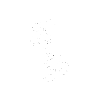 Fc1cccc(N(c2ccccc2)c2ccc3c4cc5c(cc4n4c6ccccc6c2c34)c2ccc(N(c3ccccc3)c3cccc(F)c3)c3c4ccccc4n5c23)c1